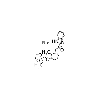 CCC1(COc2ccnc(C[S+]([O-])c3nc4ccccc4[nH]3)c2C)OCCO1.[Na]